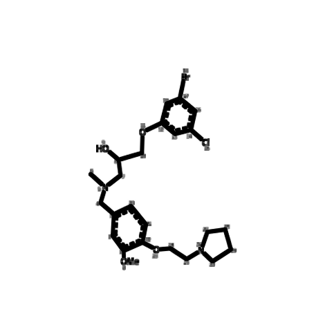 COc1cc(CN(C)CC(O)COc2cc(Cl)cc(Br)c2)ccc1OCCN1CCCC1